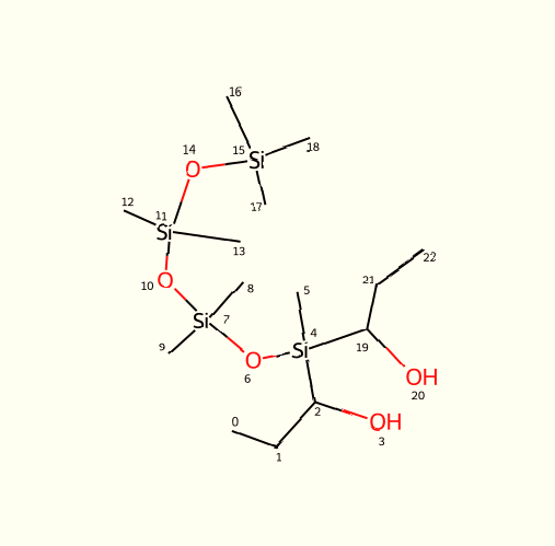 CCC(O)[Si](C)(O[Si](C)(C)O[Si](C)(C)O[Si](C)(C)C)C(O)CC